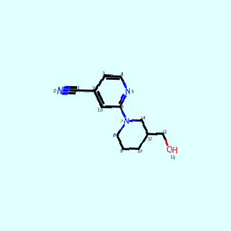 N#Cc1ccnc(N2CCCC(CO)C2)c1